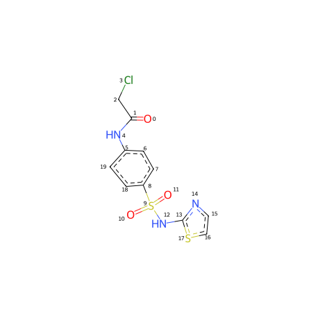 O=C(CCl)Nc1ccc(S(=O)(=O)Nc2nccs2)cc1